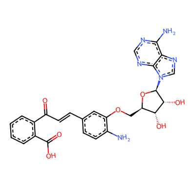 Nc1ccc(/C=C/C(=O)c2ccccc2C(=O)O)cc1OC[C@H]1O[C@@H](n2cnc3c(N)ncnc32)[C@H](O)[C@@H]1O